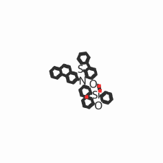 c1ccc2c(c1)Oc1ccccc1[Si]21c2ccccc2Oc2c(N(c3ccc4c(ccc5ccccc54)c3)c3cccc4c3sc3ccccc34)cccc21